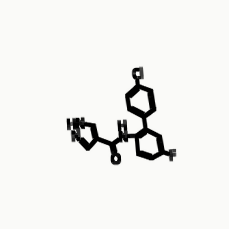 O=C(Nc1ccc(F)cc1-c1ccc(Cl)cc1)c1cn[nH]c1